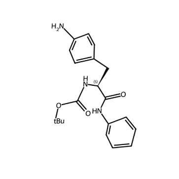 CC(C)(C)OC(=O)N[C@@H](Cc1ccc(N)cc1)C(=O)Nc1ccccc1